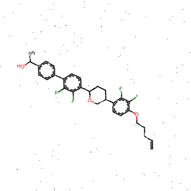 C=CCCCOc1ccc(C2CCC(c3ccc(-c4ccc(C(O)CCC)cc4)c(F)c3F)OC2)c(F)c1F